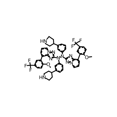 COc1ccc(C(F)(F)F)cc1-c1cccn2nc(N(c3cccc(C4CCNCC4)c3)N(c3cccc(C4CCNCC4)c3)c3nc4c(-c5cc(C(F)(F)F)ccc5OC)cccn4n3)nc12